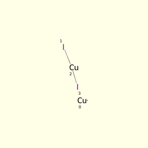 [Cu].[I][Cu][I]